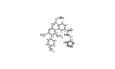 Cc1cc(OC(CC(C)(C)C)c2ccc(C(=O)NCc3nnn[nH]3)cc2)cc(C)c1-c1ccc(C(F)(F)F)cc1